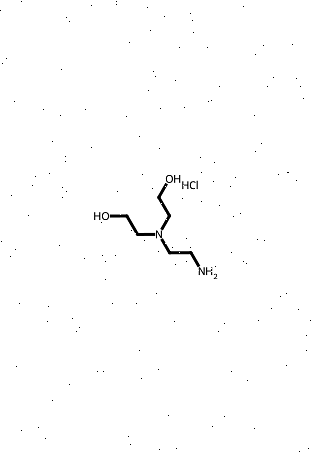 Cl.NCCN(CCO)CCO